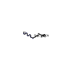 CC/C=C\C/C=C\C/C=C\C/C=C\C/C=C\C/C=C\CCC(=O)NCCN(C)CCNC(=O)c1ccc(C#N)nc1